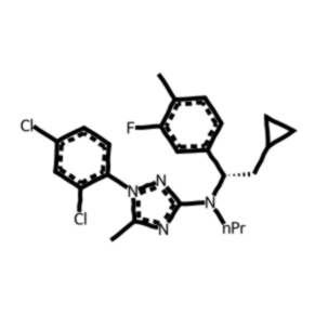 CCCN(c1nc(C)n(-c2ccc(Cl)cc2Cl)n1)[C@@H](CC1CC1)c1ccc(C)c(F)c1